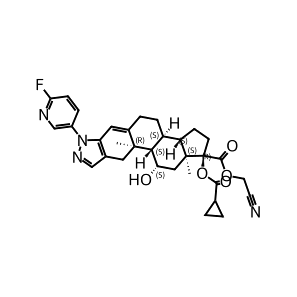 C[C@]12Cc3cnn(-c4ccc(F)nc4)c3C=C1CC[C@@H]1[C@@H]2[C@@H](O)C[C@@]2(C)[C@H]1CC[C@]2(OC(=O)C1CC1)C(=O)OCC#N